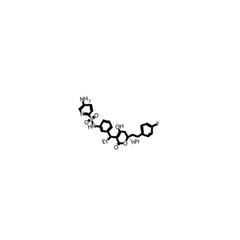 CCC[C@@]1(CCc2ccc(F)cc2)CC(O)=C(C(CC)c2cccc(NS(=O)(=O)c3ccc(N)cn3)c2)C(=O)O1